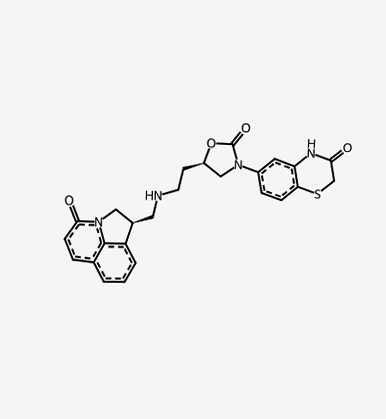 O=C1CSc2ccc(N3C[C@@H](CCNC[C@@H]4Cn5c(=O)ccc6cccc4c65)OC3=O)cc2N1